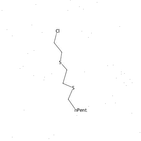 CCCCCCSCCSCCCl